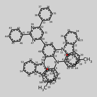 Cc1ccc(N(c2ccc(C)cc2)c2c(-n3c4ccccc4c4ncccc43)cc(-c3cc(-c4ccccc4)nc(-c4ccccc4)n3)cc2-n2c3ccccc3c3ncccc32)cc1